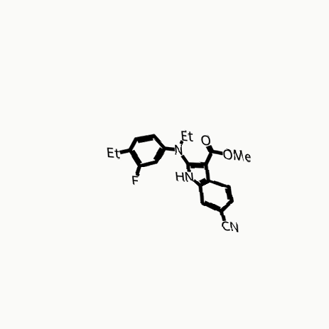 CCc1ccc(N(CC)c2[nH]c3cc(C#N)ccc3c2C(=O)OC)cc1F